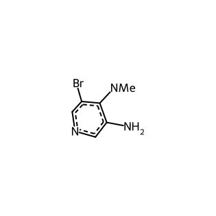 CNc1c(N)cncc1Br